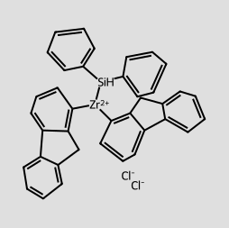 [Cl-].[Cl-].c1ccc([SiH](c2ccccc2)[Zr+2]([c]2cccc3c2Cc2ccccc2-3)[c]2cccc3c2Cc2ccccc2-3)cc1